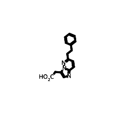 O=C(O)Cc1cnc2ccc(CCc3ccccc3)nn12